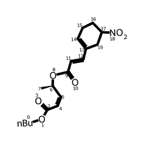 CCCCOC(=O)/C=C\[C@@H](C)OC(=O)/C=C/C1=CCCC([N+](=O)[O-])C1